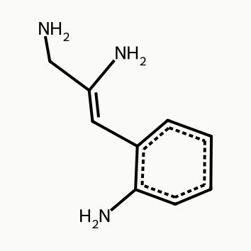 NCC(N)=Cc1ccccc1N